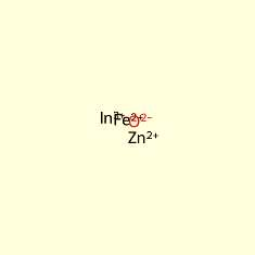 [Fe+2].[In+3].[O-2].[Zn+2]